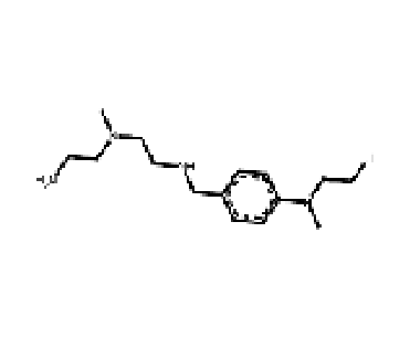 CN(CCN)CCNCc1ccc(N(C)CCCl)cc1